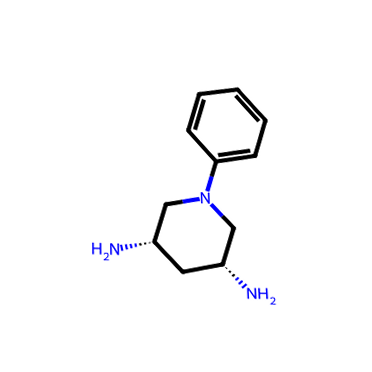 N[C@@H]1C[C@H](N)CN(c2ccccc2)C1